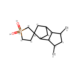 CCC1CC(CC)C2C1C1CC2C2(CCS(=O)(=O)C2)C1